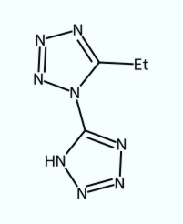 [CH2]Cc1nnnn1-c1nnn[nH]1